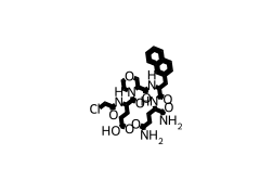 NC(=O)CCC(NC(=O)C(Cc1ccc2ccccc2c1)NC(=O)C1COCCN1C(=O)C(CCC(=O)O)NC(=O)CCl)C(N)=O